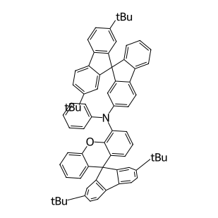 CC(C)(C)c1ccc2c(c1)C1(c3ccccc3-c3ccc(N(c4ccccc4)c4cccc5c4Oc4ccccc4C54c5cc(C(C)(C)C)ccc5-c5ccc(C(C)(C)C)cc54)cc31)c1cc(C(C)(C)C)ccc1-2